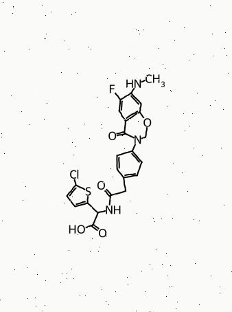 CNc1cc2c(cc1F)C(=O)N(c1ccc(CC(=O)NC(C(=O)O)c3ccc(Cl)s3)cc1)CO2